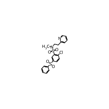 CN(CCc1ccccn1)S(=O)(=O)c1cc(S(=O)(=O)c2ccccc2)ccc1Cl